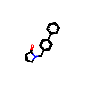 O=C1C=CCN1Cc1ccc(-c2ccccc2)cc1